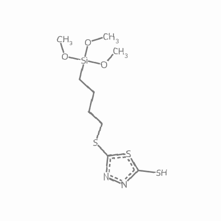 CO[Si](CCCCSc1nnc(S)s1)(OC)OC